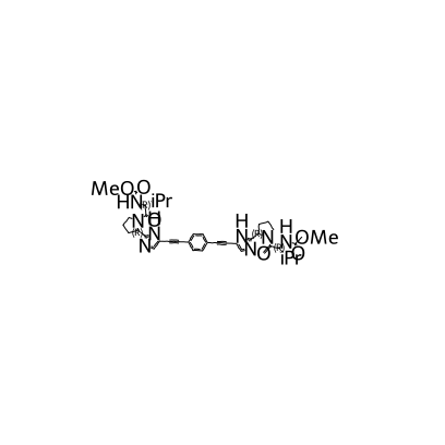 COC(=O)N[C@@H](C(=O)N1CCC[C@@H]1c1ncc(C#Cc2ccc(C#Cc3cnc([C@H]4CCCN4C(=O)[C@H](NC(=O)OC)C(C)C)[nH]3)cc2)[nH]1)C(C)C